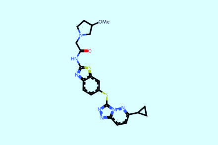 COC1CCN(CC(=O)Nc2nc3ccc(Sc4nnc5ccc(C6CC6)nn45)cc3s2)C1